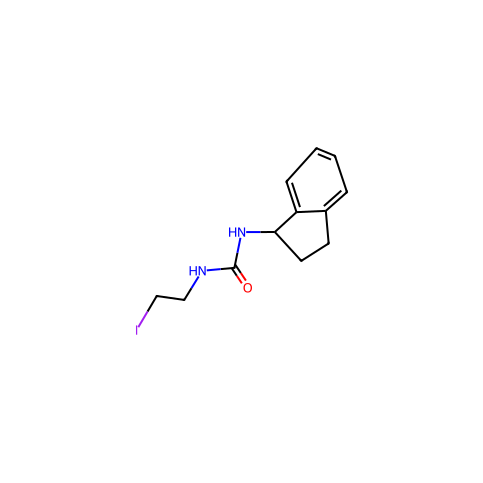 O=C(NCCI)NC1CCc2ccccc21